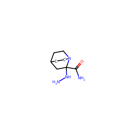 NNC1(C(N)=O)CC2CCN1CC2